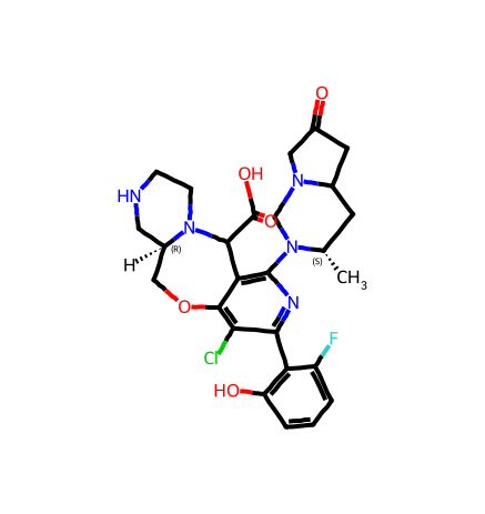 C[C@H]1CC2CC(=O)CN2CN1c1nc(-c2c(O)cccc2F)c(Cl)c2c1C(C(=O)O)N1CCNC[C@@H]1CO2